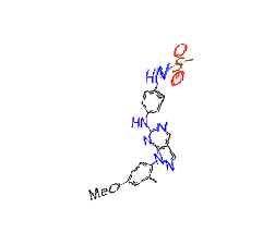 COc1ccc(-n2ncc3cnc(Nc4ccc(NS(C)(=O)=O)cc4)nc32)c(C)c1